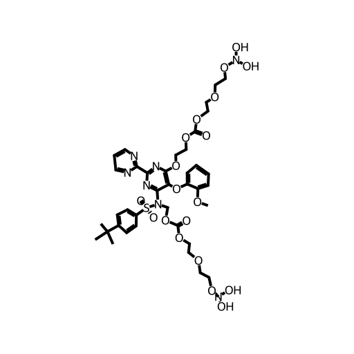 COc1ccccc1Oc1c(OCCOC(=O)OCCOCCON(O)O)nc(-c2ncccn2)nc1N(COC(=O)OCCOCCON(O)O)S(=O)(=O)c1ccc(C(C)(C)C)cc1